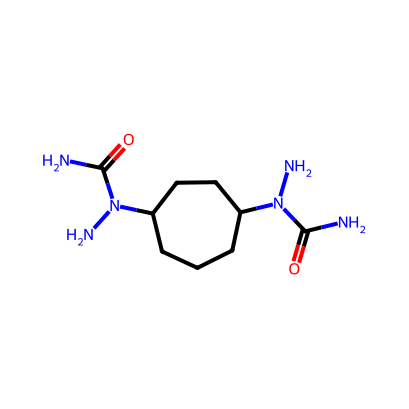 NC(=O)N(N)C1CCCC(N(N)C(N)=O)CC1